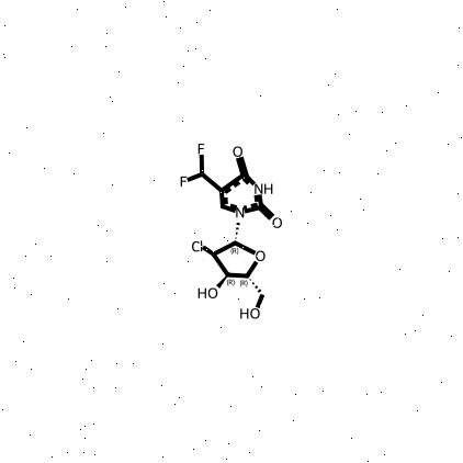 O=c1[nH]c(=O)n([C@@H]2O[C@H](CO)[C@@H](O)C2Cl)cc1C(F)F